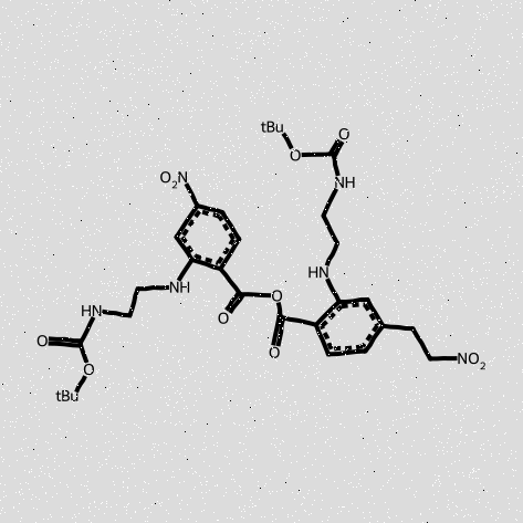 CC(C)(C)OC(=O)NCCNc1cc(CC[N+](=O)[O-])ccc1C(=O)OC(=O)c1ccc([N+](=O)[O-])cc1NCCNC(=O)OC(C)(C)C